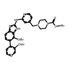 COc1cnccc1-c1ccc2nc(Nc3cc(CN4CCN(C(=O)OC(C)(C)C)CC4)ccn3)[nH]c2c1OCC(C)C